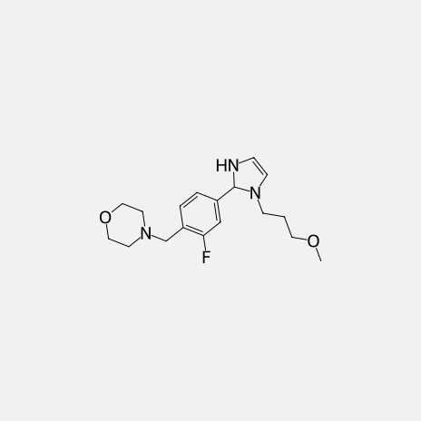 COCCCN1C=CNC1c1ccc(CN2CCOCC2)c(F)c1